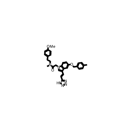 COc1ccc(CCN(C)C(=O)Cn2cc(/C=C/c3nnn[nH]3)c3cc(OCc4ccc(C)cc4)ccc32)cc1